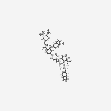 CNC1C=CC(SNC(=O)c2ccc(N3CCC4(CC3)CC(N3CCN(Cc5ccc6sccc6c5)CC3c3ccccc3C(C)C)C4)cc2Oc2cnc3[nH]ccc3c2)CC1[N+](=O)[O-]